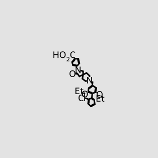 CCOc1cc(CN2CCC3(CC2)CC(=O)N(c2ccc(C(=O)O)cc2)C3)cc(OCC)c1-c1ccccc1Cl